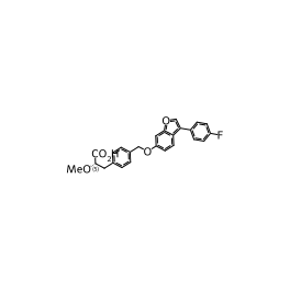 CO[C@@H](Cc1ccc(COc2ccc3c(-c4ccc(F)cc4)coc3c2)cc1)C(=O)O